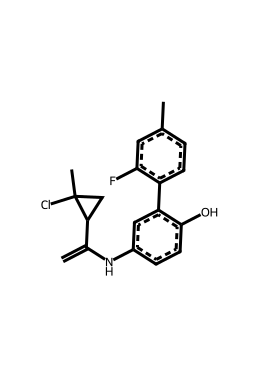 C=C(Nc1ccc(O)c(-c2ccc(C)cc2F)c1)C1CC1(C)Cl